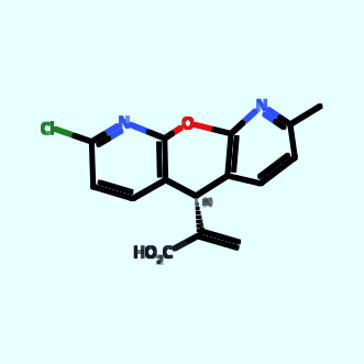 C=C(C(=O)O)[C@H]1c2ccc(C)nc2Oc2nc(Cl)ccc21